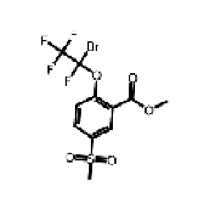 COC(=O)c1cc(S(C)(=O)=O)ccc1OC(F)(Br)C(F)(F)F